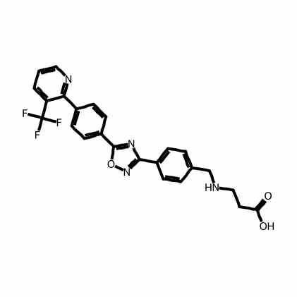 O=C(O)CCNCc1ccc(-c2noc(-c3ccc(-c4ncccc4C(F)(F)F)cc3)n2)cc1